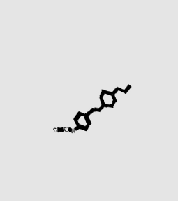 CCCC1CCC(CCc2ccc(N=C=S)cc2)CC1